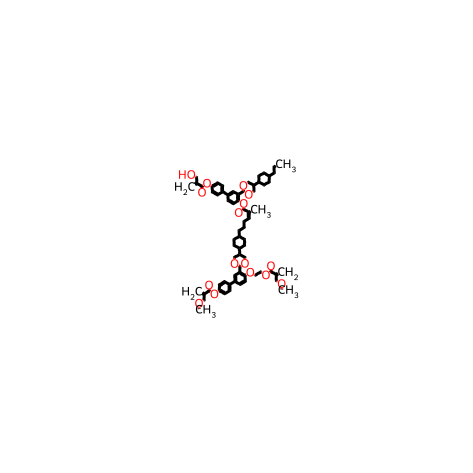 C=C(COC)C(=O)OCCOc1ccc(-c2ccc(OC(=O)C(=C)COC)cc2)cc1C1OCC(C2CCC(CCC/C=C(/C)C(=O)Oc3ccc(-c4ccc(OC(=O)C(=C)CO)cc4)cc3C3OCC(C4CCC(CCC)CC4)CO3)CC2)CO1